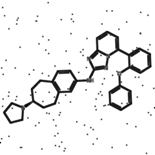 c1ccc(Oc2ccccc2-c2cccc3nc(Nc4ccc5c(c4)CC[C@@H](N4CCCC4)CC5)nn23)cc1